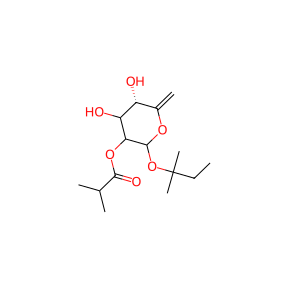 C=C1OC(OC(C)(C)CC)C(OC(=O)C(C)C)C(O)[C@@H]1O